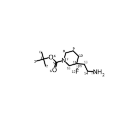 CC(C)(C)OC(=O)N1CCC[C@@](F)(CCN)C1